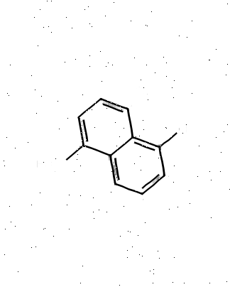 O=C(O)c1cccc2c(Cl)cccc12.[Cd]